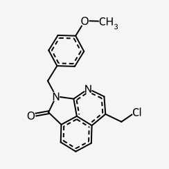 COc1ccc(CN2C(=O)c3cccc4c(CCl)cnc2c34)cc1